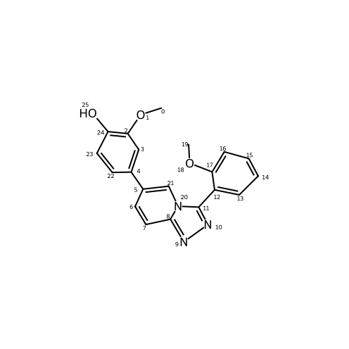 COc1cc(-c2ccc3nnc(-c4ccccc4OC)n3c2)ccc1O